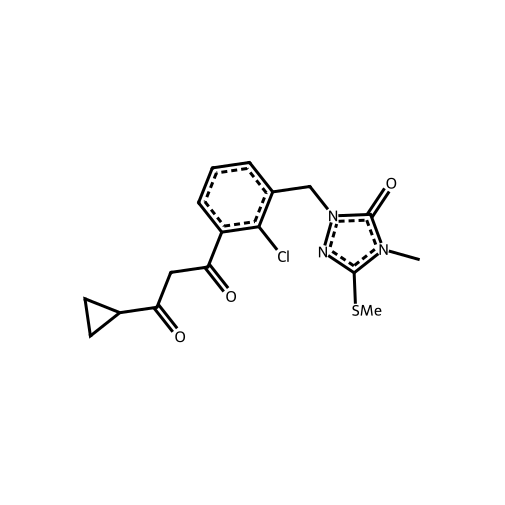 CSc1nn(Cc2cccc(C(=O)CC(=O)C3CC3)c2Cl)c(=O)n1C